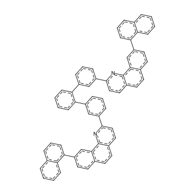 c1cc(-c2ccc3ccc4ccc(-c5cccc6ccccc56)cc4c3n2)cc(-c2ccccc2-c2cccc(-c3ccc4ccc5ccc(-c6cccc7ccccc67)cc5c4n3)c2)c1